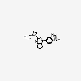 C[C@H]1CCN1c1nc2c(c(-c3ccc4[nH]nnc4c3)n1)CCC2